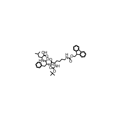 CC(C)CC(NC(=O)C(Cc1ccccc1)NC(=O)C(CCCCNC(=O)OCC1c2ccccc2-c2ccccc21)NC(=O)OC(C)(C)C)C(=O)O